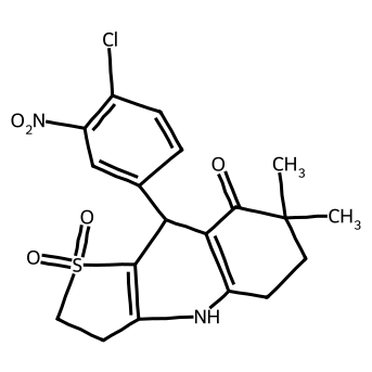 CC1(C)CCC2=C(C1=O)C(c1ccc(Cl)c([N+](=O)[O-])c1)C1=C(CCS1(=O)=O)N2